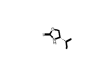 CC(C)[C@H]1COC(=S)N1